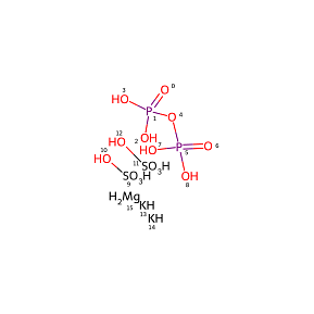 O=P(O)(O)OP(=O)(O)O.O=S(=O)(O)O.O=S(=O)(O)O.[KH].[KH].[MgH2]